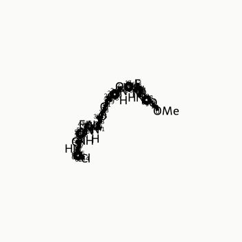 COCCOc1ccc(Nc2ncc(F)c(N3CCC[C@@H](NC(=O)c4ccc(C(C)(C)CCOCCO/C(C)=C/C=C(\C)Nc5ncc(F)c(N6CCC[C@@H](NC(=O)CNc7cccc(Cl)c7)C6)n5)cc4)C3)n2)cc1